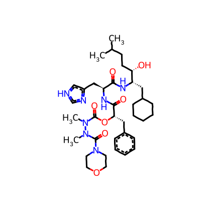 CC(C)CC[C@H](O)[C@H](CC1CCCCC1)NC(=O)[C@H](Cc1c[nH]cn1)NC(=O)[C@H](Cc1ccccc1)OC(=O)N(C)N(C)C(=O)N1CCOCC1